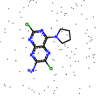 Nc1nc2nc(Cl)nc(N3CCCC3)c2nc1Cl